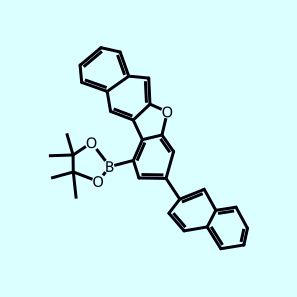 CC1(C)OB(c2cc(-c3ccc4ccccc4c3)cc3oc4cc5ccccc5cc4c23)OC1(C)C